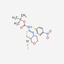 CC(C)(C)OC(=O)NC1=N[C@@]2(c3cc([N+](=O)[O-])ccc3F)CCO[C@H](CF)[C@H]2CS1